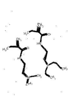 C=C(C)C(=O)NCCN(C)C.C=C(C)C(=O)NCCN(CC)CC